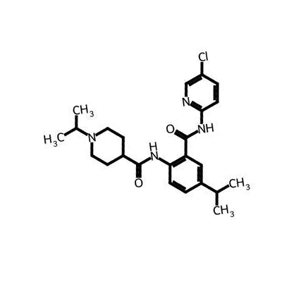 CC(C)c1ccc(NC(=O)C2CCN(C(C)C)CC2)c(C(=O)Nc2ccc(Cl)cn2)c1